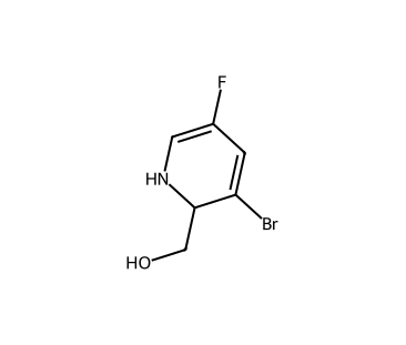 OCC1NC=C(F)C=C1Br